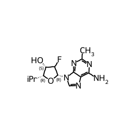 Cc1nc(N)c2ncn([C@@H]3O[C@H](C(C)C)[C@H](O)C3F)c2n1